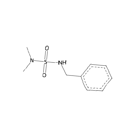 CN(C)S(=O)(=O)NCc1ccccc1